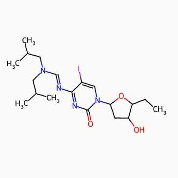 CCC1OC(n2cc(I)c(/N=C/N(CC(C)C)CC(C)C)nc2=O)CC1O